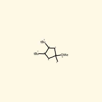 COC1(C)CC(C(C)(C)C)C(C(C)(C)C)C1